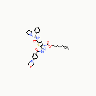 CCCCCCOC(=O)n1nc(NC(=O)c2ccc(N3CCOCC3)cc2)c2sc(C(=O)N[C@H](CN3CCCC3)c3ccccc3)cc21